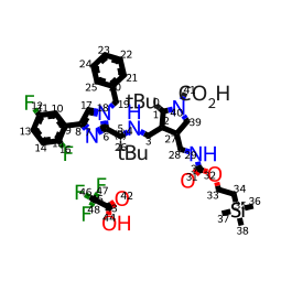 CC(C)(C)C1C(CN[C@@H](c2nc(-c3cc(F)ccc3F)cn2Cc2ccccc2)C(C)(C)C)C(CNC(=O)OCC[Si](C)(C)C)CN1C(=O)O.O=C(O)C(F)(F)F